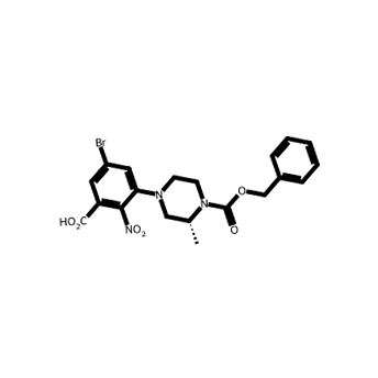 C[C@@H]1CN(c2cc(Br)cc(C(=O)O)c2[N+](=O)[O-])CCN1C(=O)OCc1ccccc1